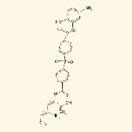 C=C(O)/C(=C\C(N)=C\C)NC(=O)c1ccc(S(=O)(=O)c2ccc(C(=O)Nc3cc(N)ccc3O)cc2)cc1